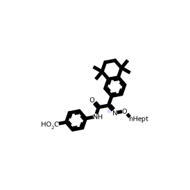 CCCCCCCO/N=C(/C(=O)Nc1ccc(C(=O)O)cc1)c1ccc2c(c1)C(C)(C)CCC2(C)C